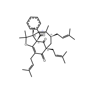 CC(C)=CCC1=C2OC(C)(C)[C@@H]3/C=C(/C)[C@@H](CC=C(C)C)C[C@](CC=C(C)C)(C1=O)C(=O)[C@]23C(=O)c1ccccc1